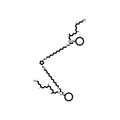 CC(C)CCC[C@@H](C)CCC[C@@H](C)CCCC(C)CCO[C@H](CNC1CCCCCCCCCC1)COCCCCCCCCCCCCOC[C@@H]1CC[C@H](COCCCCCCCCCCCCOC[C@H](CNC2CCCCCCCCCC2)OCCC(C)CCC[C@H](C)CCC[C@H](C)CCCC(C)C)C1